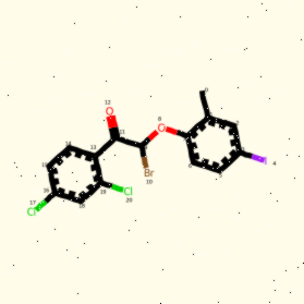 Cc1cc(I)ccc1OC(Br)C(=O)c1ccc(Cl)cc1Cl